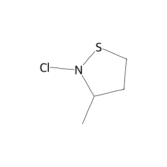 CC1CCSN1Cl